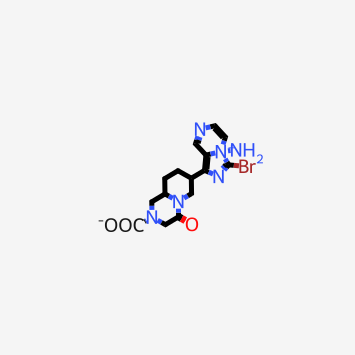 N[N+]12C=CN=CC1=C(C1CCC3CN(C(=O)[O-])CC(=O)N3C1)N=C2Br